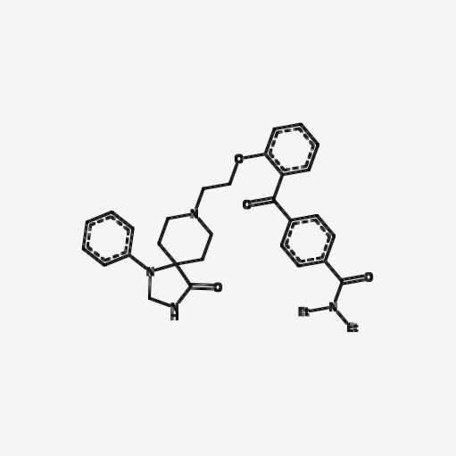 CCN(CC)C(=O)c1ccc(C(=O)c2ccccc2OCCN2CCC3(CC2)C(=O)NCN3c2ccccc2)cc1